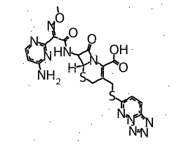 CO/N=C(\C(=O)NC1C(=O)N2C(C(=O)O)=C(CSc3ccc4nnnn4n3)CS[C@H]12)c1nccc(N)n1